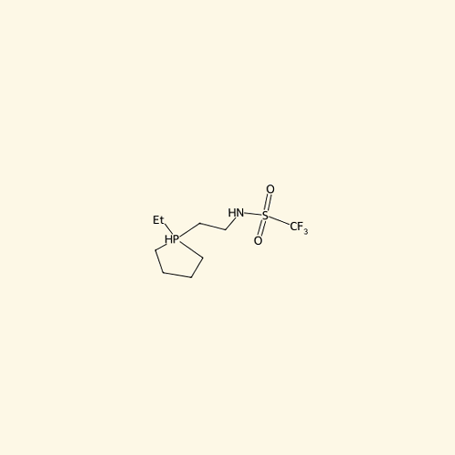 CC[PH]1(CCNS(=O)(=O)C(F)(F)F)CCCC1